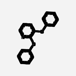 c1ccc(Oc2cccnc2Oc2ccccc2)cc1